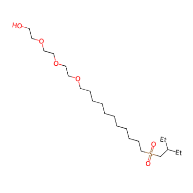 CCC(CC)CS(=O)(=O)CCCCCCCCCCCOCCOCCOCCO